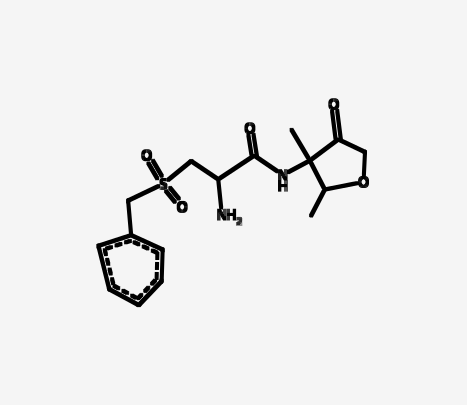 CC1OCC(=O)C1(C)NC(=O)C(N)CS(=O)(=O)Cc1ccccc1